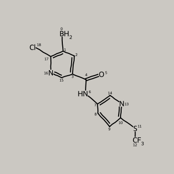 Bc1cc(C(=O)Nc2ccc(SC(F)(F)F)nc2)cnc1Cl